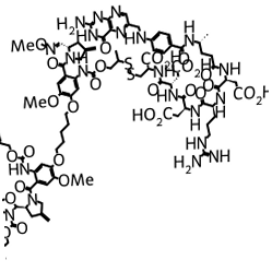 C=CCOC(=O)Nc1cc(OCCCCCOc2cc(NC(=O)OCC(C)SSC[C@H](NC(=O)[C@H](CC(=O)O)NC(=O)[C@H](CC(=O)O)NC(=O)[C@H](CCCNC(=N)N)NC(=O)[C@H](CC(=O)O)NC(=O)CC[C@@H](C)NC(=O)c3ccc(NCc4cnc5nc(N)[nH]c(=O)c5n4)cc3)C(=O)O)c(C(=O)N3CC(=C)C[C@H]3/C=N/OC)cc2OC)c(OC)cc1C(=O)N1CC(=C)C[C@H]1C1OCCN1C(=O)OCC=C